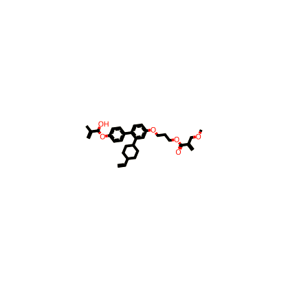 C=CC1CCC(c2cc(OCCCOC(=O)C(=C)COC)ccc2-c2ccc(OC(O)C(=C)C)cc2)CC1